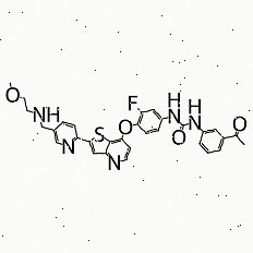 COCCNCc1ccc(-c2cc3nccc(Oc4ccc(NC(=O)Nc5cccc(C(C)=O)c5)cc4F)c3s2)nc1